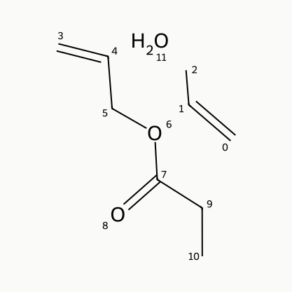 C=CC.C=CCOC(=O)CC.O